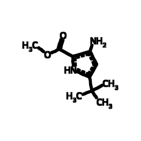 COC(=O)c1[nH]c(C(C)(C)C)cc1N